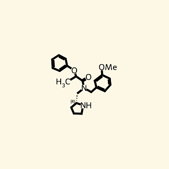 COc1cccc(CN(C[C@H]2CCCN2)C(=O)C(C)Oc2ccccc2)c1